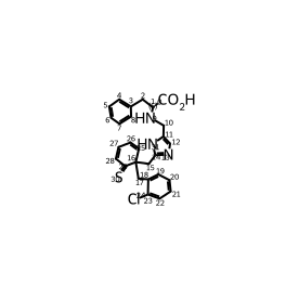 O=C(O)[C@H](Cc1ccccc1)NCc1cnc(CC2(Cc3ccccc3Cl)C=CC=CC2=S)[nH]1